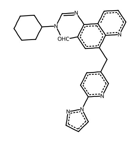 CN(/C=N\c1c(C=O)cc(Cc2ccc(-n3cccn3)nc2)c2ncccc12)C1CCCCC1